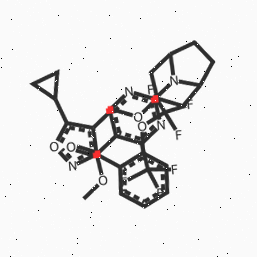 COC(=O)c1cnc(N2C3CCC2CC(OCc2c(-c4ccccc4OC(F)(F)F)noc2C2CC2)C3)nc1C(F)(F)F